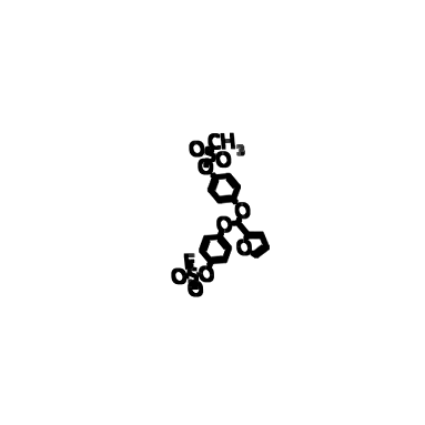 CS(=O)(=O)Oc1ccc(OC(Oc2ccc(OS(=O)(=O)F)cc2)c2ccco2)cc1